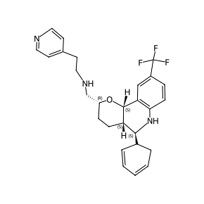 FC(F)(F)c1ccc2c(c1)[C@H]1O[C@@H](CNCCc3ccncc3)CC[C@H]1[C@H](C1C=CC=CC1)N2